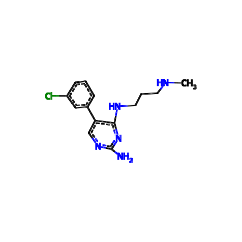 CNCCCNc1nc(N)ncc1-c1cccc(Cl)c1